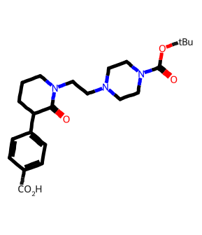 CC(C)(C)OC(=O)N1CCN(CCN2CCCC(c3ccc(C(=O)O)cc3)C2=O)CC1